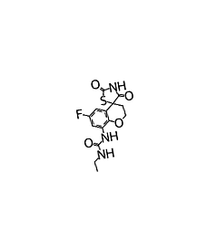 CCNC(=O)Nc1cc(F)cc2c1OCCC21SC(=O)NC1=O